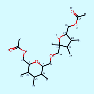 CC(=O)OCC1OC(COCC2(C)OC(COC(C)=O)C(C)C2C)C(C)C(C)C1C